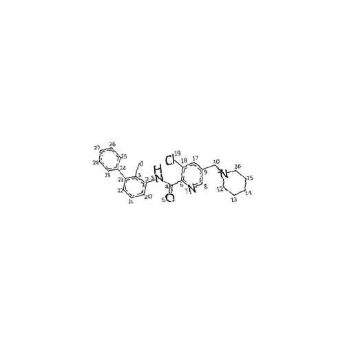 Cc1c(NC(=O)c2ncc(CN3CCCCC3)cc2Cl)cccc1-c1ccccc1